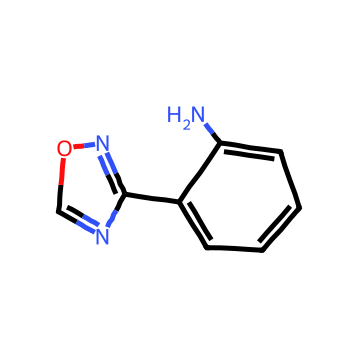 Nc1ccccc1-c1ncon1